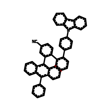 N#Cc1ccc(-c2ccccc2-c2ccc(-n3c4ccccc4c4ccccc43)cc2)c(-c2c3ccccc3c(-c3ccccc3)c3ccccc23)c1